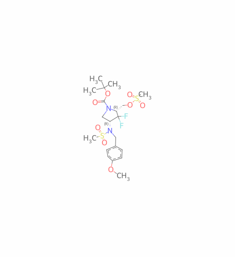 COc1ccc(CN([C@@H]2CN(C(=O)OC(C)(C)C)[C@H](COS(C)(=O)=O)C2(F)F)S(C)(=O)=O)cc1